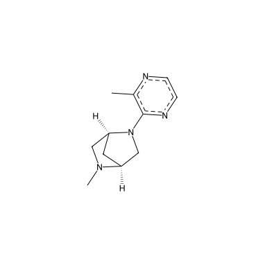 Cc1nccnc1N1C[C@@H]2C[C@H]1CN2C